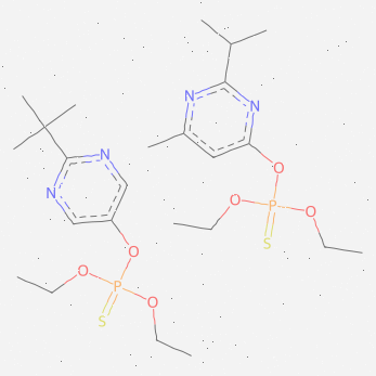 CCOP(=S)(OCC)Oc1cc(C)nc(C(C)C)n1.CCOP(=S)(OCC)Oc1cnc(C(C)(C)C)nc1